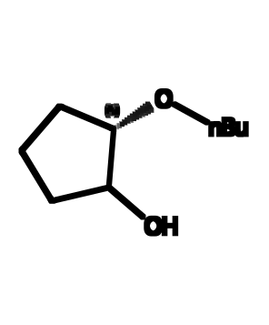 CCCCO[C@H]1CCCC1O